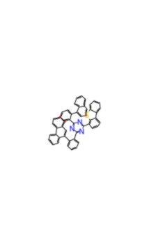 c1ccc(-c2cccc3ccccc23)c(-c2nc(-c3ccccc3-c3cc4ccccc4c4ccccc34)nc(-c3cccc4c3sc3ccccc34)n2)c1